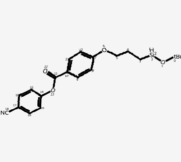 CC(C)(C)O[SiH2]CCCOc1ccc(C(=O)Oc2ccc(C#N)cc2)cc1